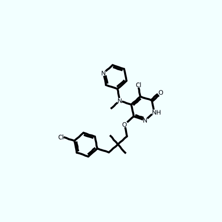 CN(c1cccnc1)c1c(OCC(C)(C)Cc2ccc(Cl)cc2)n[nH]c(=O)c1Cl